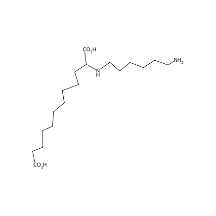 NCCCCCCNC(CCCCCCCCCC(=O)O)C(=O)O